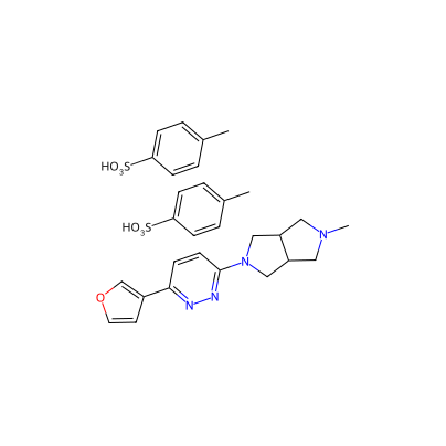 CN1CC2CN(c3ccc(-c4ccoc4)nn3)CC2C1.Cc1ccc(S(=O)(=O)O)cc1.Cc1ccc(S(=O)(=O)O)cc1